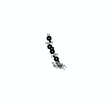 CCc1ccc(C(=O)Nc2ccc3c(c2)Cc2cc(NC(=O)c4ccc(C[N+](C)(C)B[N+](C)(C)C)cc4)ccc2-3)cc1